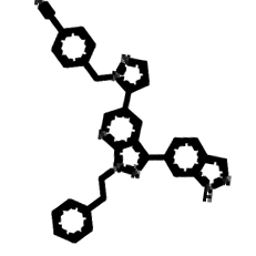 N#Cc1ccc(Cn2nccc2-c2cnc3c(c2)c(-c2ccc4cn[nH]c4c2)nn3CCc2ccccc2)cc1